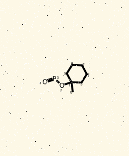 CC1(OP=O)CCCCC1